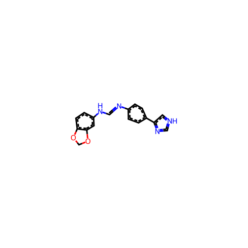 C(=Nc1ccc(-c2c[nH]cn2)cc1)Nc1ccc2c(c1)OCO2